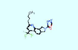 CCCCc1cc(C(F)(F)F)c2ccc3c(c2n1)CN(c1nnco1)C3